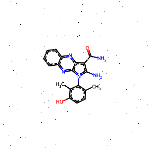 Cc1ccc(O)c(C)c1-n1c(N)c(C(N)=O)c2nc3ccccc3nc21